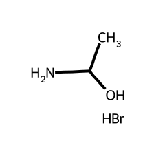 Br.CC(N)O